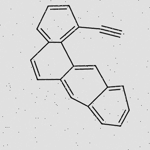 [C]#Cc1cccc2ccc3cc4ccccc4cc3c12